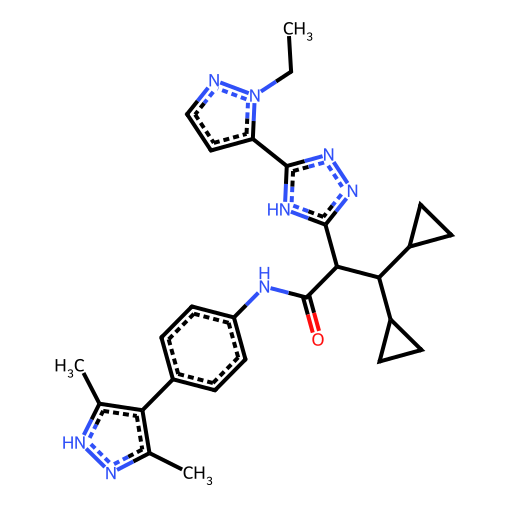 CCn1nccc1-c1nnc(C(C(=O)Nc2ccc(-c3c(C)n[nH]c3C)cc2)C(C2CC2)C2CC2)[nH]1